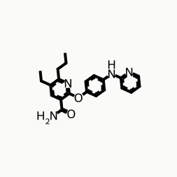 CCCc1nc(Oc2ccc(Nc3ccccn3)cc2)c(C(N)=O)cc1CC